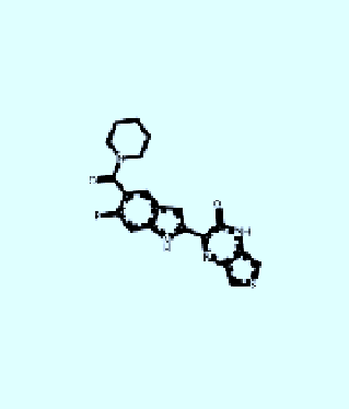 O=C(c1cc2cc(-c3nc4cscc4[nH]c3=O)[nH]c2cc1F)N1CCCCC1